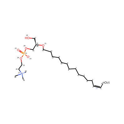 CCCCCCCC/C=C\CCCCCCCCCCCCO[C@H](CO)COP(=O)([O-])OCC[N+](C)(C)C